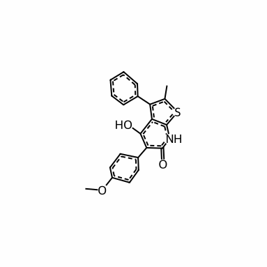 COc1ccc(-c2c(O)c3c(-c4ccccc4)c(C)sc3[nH]c2=O)cc1